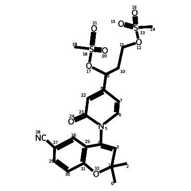 CC1(C)C=C(n2ccc(C(CCOS(C)(=O)=O)OS(C)(=O)=O)cc2=O)c2cc(C#N)ccc2O1